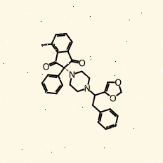 Cc1cccc2c1C(=O)[C@@](c1ccccc1)(N1CCN(C(Cc3ccccc3)C3=COCO3)CC1)C2=O